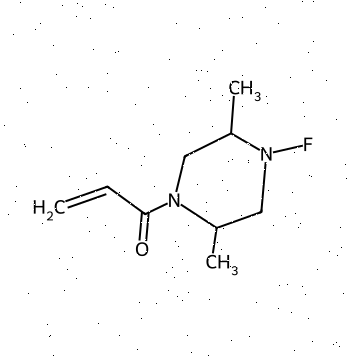 C=CC(=O)N1CC(C)N(F)CC1C